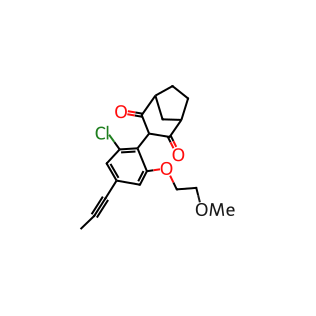 CC#Cc1cc(Cl)c(C2C(=O)C3CCC(C3)C2=O)c(OCCOC)c1